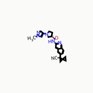 Cn1cc(N2CC[C@@H](C(=O)Nc3cc4cc([C@@]5(C#N)CC56CC6)ccc4cn3)C2)cn1